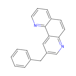 c1ccc(Cc2cnc3ccc4cccnc4c3c2)cc1